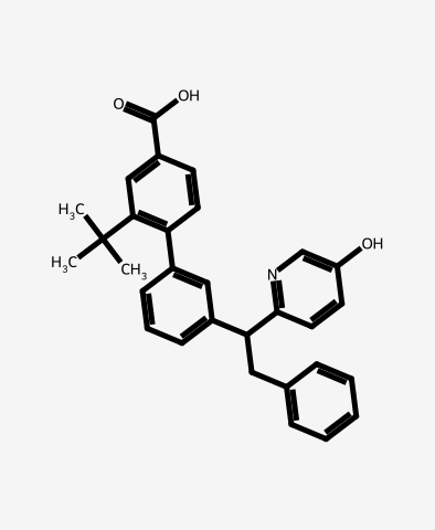 CC(C)(C)c1cc(C(=O)O)ccc1-c1cccc(C(Cc2ccccc2)c2ccc(O)cn2)c1